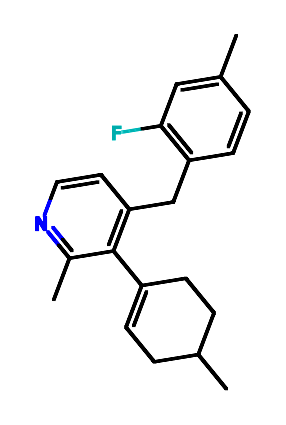 Cc1ccc(Cc2ccnc(C)c2C2=CCC(C)CC2)c(F)c1